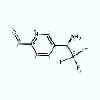 N[C@H](c1ccc(C=O)nc1)C(F)(F)F